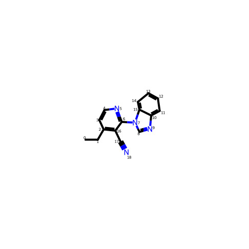 CCc1ccnc(-n2cnc3ccccc32)c1C#N